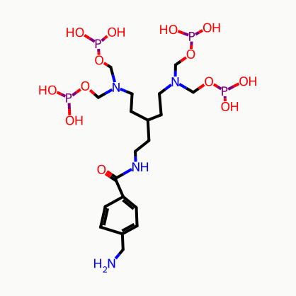 NCc1ccc(C(=O)NCCC(CCN(COP(O)O)COP(O)O)CCN(COP(O)O)COP(O)O)cc1